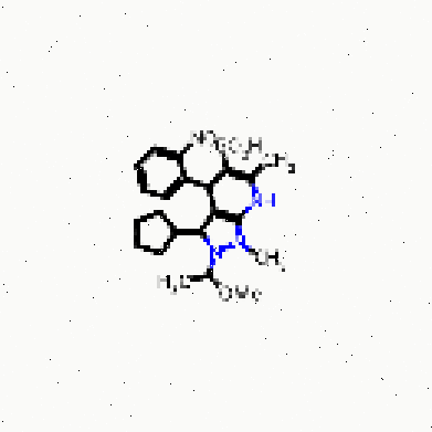 COC(C)N1C(C2CCCC2)C2=C(NC(C)=C(C(=O)O)C2c2ccccc2[N+](=O)[O-])N1C